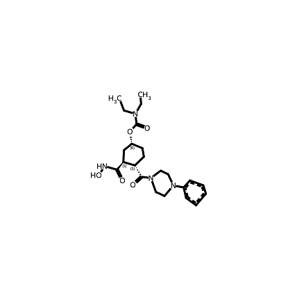 CCN(CC)C(=O)O[C@@H]1CC[C@H](C(=O)N2CCN(c3ccccc3)CC2)[C@@H](C(=O)NO)C1